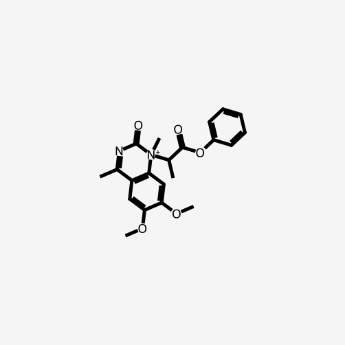 COc1cc2c(cc1OC)[N+](C)(C(C)C(=O)Oc1ccccc1)C(=O)N=C2C